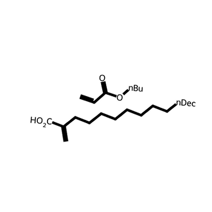 C=C(CCCCCCCCCCCCCCCCCC)C(=O)O.C=CC(=O)OCCCC